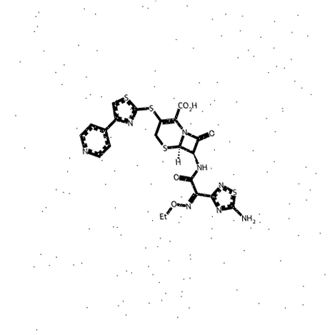 CCO/N=C(\C(=O)N[C@@H]1C(=O)N2C(C(=O)O)=C(Sc3nc(-c4ccncc4)cs3)CS[C@H]12)c1nsc(N)n1